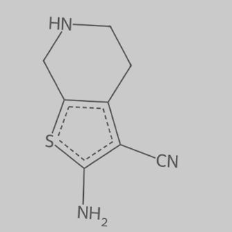 N#Cc1c(N)sc2c1CCNC2